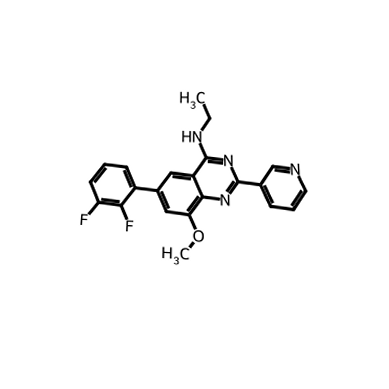 CCNc1nc(-c2cccnc2)nc2c(OC)cc(-c3cccc(F)c3F)cc12